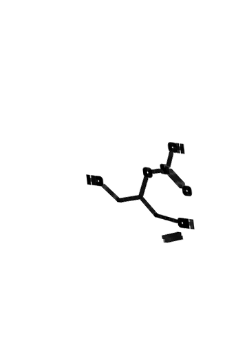 C=C.O=[Si](O)OC(CO)CO